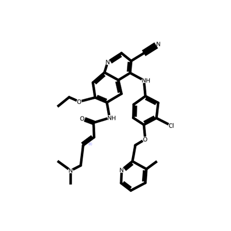 CCOc1cc2ncc(C#N)c(Nc3ccc(OCc4ncccc4C)c(Cl)c3)c2cc1NC(=O)/C=C/CN(C)C